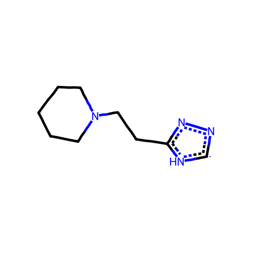 [c]1nnc(CCN2CCCCC2)[nH]1